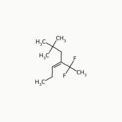 CC/C=C(/CC(C)(C)C)C(C)(F)F